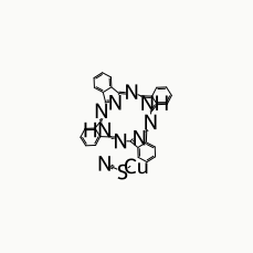 N#C[S][Cu].c1ccc2c(c1)-c1nc-2nc2[nH]c(nc3nc(nc4[nH]c(n1)c1ccccc41)-c1ccccc1-3)c1ccccc21